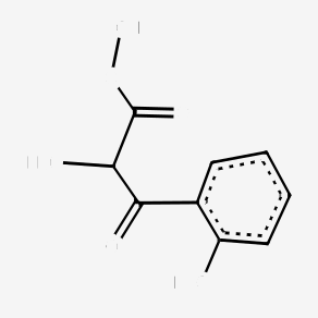 COC(=O)C(C)C(=O)c1ccccc1C